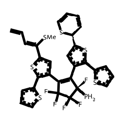 C=C/C=C(\SC)c1cc(C2=C(c3cc([C@@H]4C=CC=CS4)sc3-c3cccs3)[C@](F)(P)C(F)(F)C2(F)F)c(-c2cccs2)s1